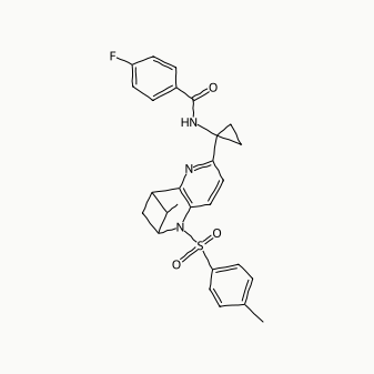 Cc1ccc(S(=O)(=O)N2c3ccc(C4(NC(=O)c5ccc(F)cc5)CC4)nc3C3CC2C3C)cc1